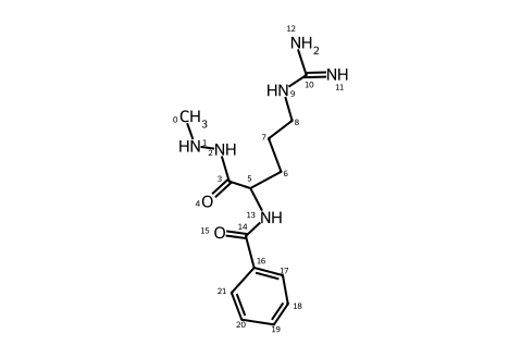 CNNC(=O)C(CCCNC(=N)N)NC(=O)c1ccccc1